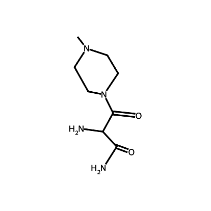 CN1CCN(C(=O)C(N)C(N)=O)CC1